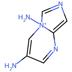 NC1=C[N+]2(N)C=NC=C2N=C1